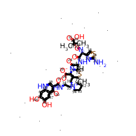 C[C@@H]1S[C@@H]2[C@H](NC(=O)/C(=N\OC(C)(C)C(=O)O)c3csc(N)n3)C(=O)N2C(C(=O)[O-])=C1C[N+]1(CCNC(=O)c2c[nH]c3cc(O)c(O)cc3c2=O)CCCC1